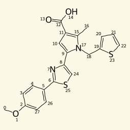 COc1ccc(-c2nc(-c3cc(C(=O)O)c(C)n3Cc3cccs3)cs2)cc1